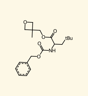 CC(C)(C)CC(NC(=O)OCc1ccccc1)C(=O)OCC1(C)COC1